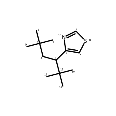 CC(C)(C)CC(c1cscn1)C(C)(C)C